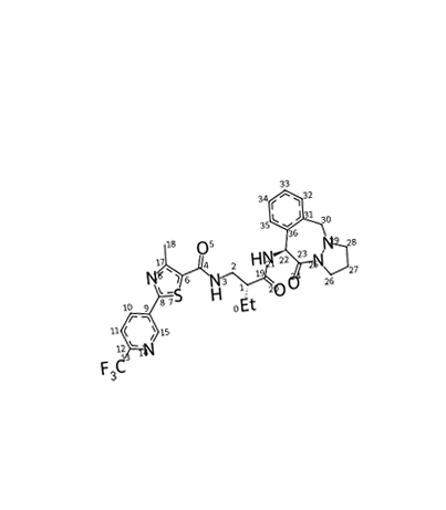 CC[C@H](CNC(=O)c1sc(-c2ccc(C(F)(F)F)nc2)nc1C)C(=O)N[C@@H]1C(=O)N2CCCN2Cc2ccccc21